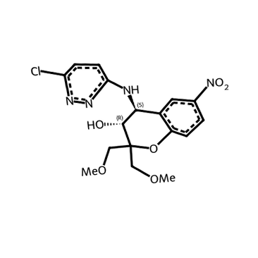 COCC1(COC)Oc2ccc([N+](=O)[O-])cc2[C@H](Nc2ccc(Cl)nn2)[C@H]1O